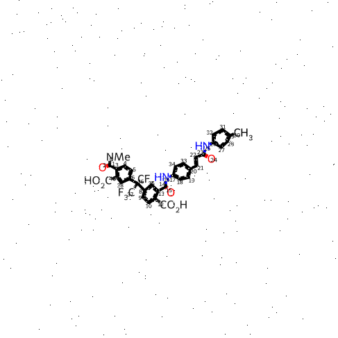 CNC(=O)c1ccc(C(c2ccc(C(=O)O)c(C(=O)Nc3ccc(/C=C/C(=O)Nc4ccc(C)cc4)cc3)c2)(C(F)(F)F)C(F)(F)F)cc1C(=O)O